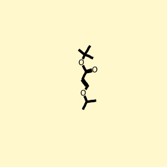 CC(C)OC=CC(=O)OC(C)(C)C